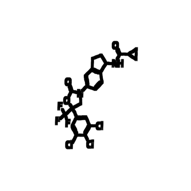 O=C(NC1CCc2cc(N3CC(c4cc(Cl)c(Cl)c(Cl)c4)(C(F)(F)F)OC3=O)ccc21)C1CC1